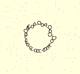 c1ccc2c(c1)OCCCCOCCCCOCCCCOCCCCOc1ccccc1-c1ccccc1Oc1ccccc1-c1ccccc1Oc1ccccc1-c1ccccc1Oc1ccccc1-2